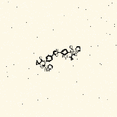 CC1(C(=O)N(C(=O)[C@@H]2CCCN2)c2ccc(-c3cnc(-c4ccc(N(C(=O)[C@@H]5CCCN5)C(=O)C5(C)CC5)cc4)o3)cc2)CC1